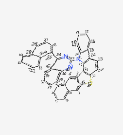 c1ccc2cc3c(cc2c1)sc1ccc2c4ccccc4n(-c4nc(-c5cccc6ccccc56)c5ccccc5n4)c2c13